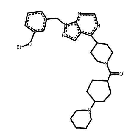 CCOc1cccc(Cn2ncc3c(C4CCN(C(=O)C5CCC(N6CCCCC6)CC5)CC4)ncnc32)c1